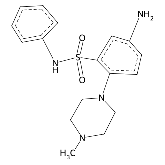 CN1CCN(c2ccc(N)cc2S(=O)(=O)Nc2ccccc2)CC1